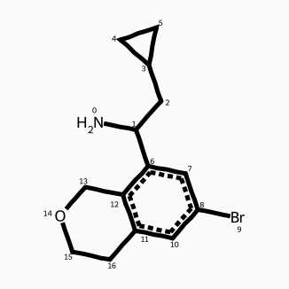 NC(CC1CC1)c1cc(Br)cc2c1COCC2